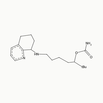 CC(C)(C)C(CCCCNC1CCCc2cccnc21)OC(N)=O